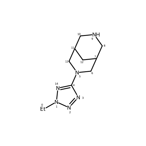 CCn1nnc(N2CC3CNCC(C3)C2)n1